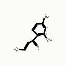 C/C=C/C(=O)c1ccc(OC(C)=O)cc1OC(C)=O